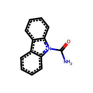 NC(=O)n1c2ccccc2c2ccccc21